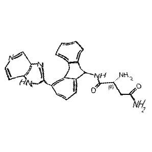 NC(=O)C[C@@H](N)C(=O)NC1c2ccccc2-c2c(-c3nc4cnccc4[nH]3)cccc21